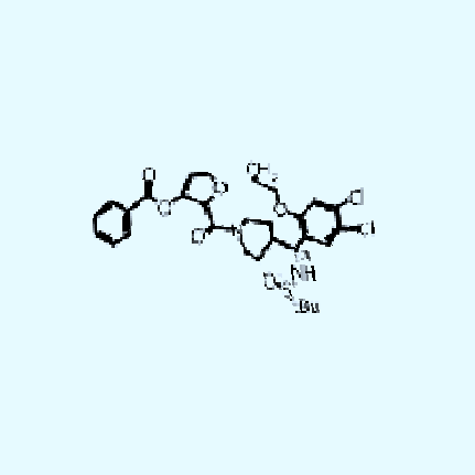 C=CCOc1cc(Cl)c(Cl)cc1[C@H](N[S+]([O-])C(C)(C)C)C1CCN(C(=O)C2OCCC2OC(=O)c2ccccc2)CC1